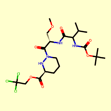 COC[C@H](NC(=O)C(NC(=O)OC(C)(C)C)C(C)C)C(=O)N1CCC[C@@H](C(=O)OCC(Cl)(Cl)Cl)N1